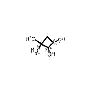 CC1(C)C[C@@H](O)[C@H]1O